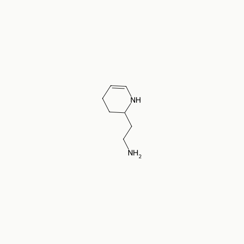 NCCC1CCC=CN1